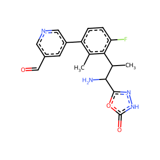 Cc1c(-c2cncc(C=O)c2)ccc(F)c1C(C)C(N)c1n[nH]c(=O)o1